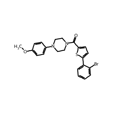 COc1ccc(N2CCN(C(=O)c3ccc(-c4ccccc4Br)s3)CC2)cc1